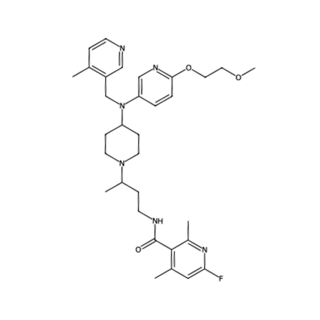 COCCOc1ccc(N(Cc2cnccc2C)C2CCN(C(C)CCNC(=O)c3c(C)cc(F)nc3C)CC2)cn1